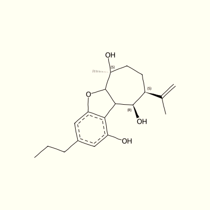 C=C(C)[C@@H]1CC[C@](C)(O)C2Oc3cc(CCC)cc(O)c3C2[C@@H]1O